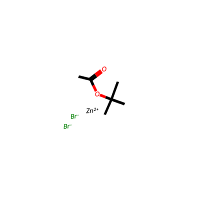 CC(=O)OC(C)(C)C.[Br-].[Br-].[Zn+2]